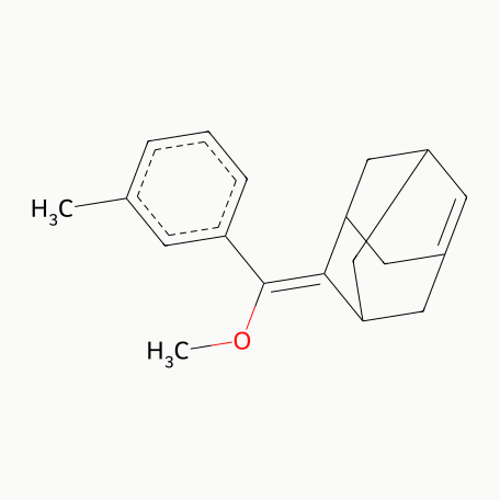 COC(=C1C2CC3=CC(C2)CC1C3)c1cccc(C)c1